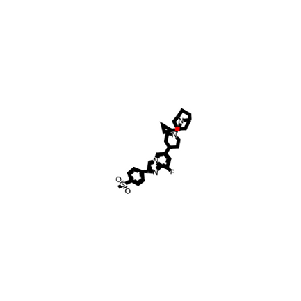 CS(=O)(=O)c1ccc(-c2cn3cc(C4CCN(C5CC6CCC(C5)N6CC5CC5)CC4)cc(F)c3n2)cc1